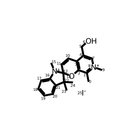 Cc1c2c(c(CO)c[n+]1C)C=CC1(O2)N(C)c2ccccc2C1(C)C.[I-]